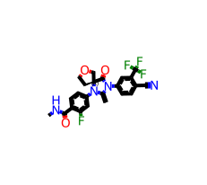 C=C1N(c2ccc(C#N)c(C(F)(F)F)c2)C(=O)[C@]2(CCOC2)N1c1ccc(C(=O)NC)c(F)c1